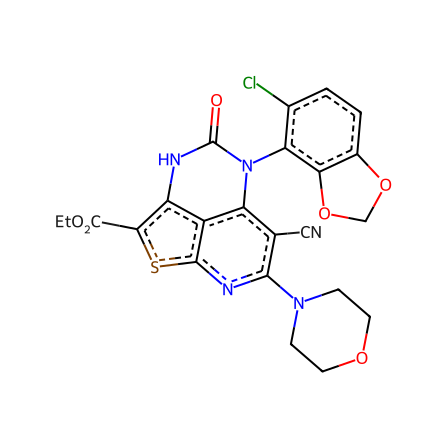 CCOC(=O)c1sc2nc(N3CCOCC3)c(C#N)c3c2c1NC(=O)N3c1c(Cl)ccc2c1OCO2